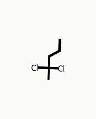 CCCC(C)(Cl)Cl